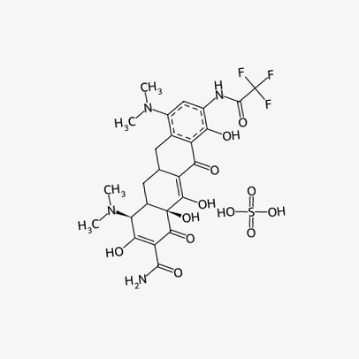 CN(C)c1cc(NC(=O)C(F)(F)F)c(O)c2c1CC1CC3[C@H](N(C)C)C(O)=C(C(N)=O)C(=O)[C@@]3(O)C(O)=C1C2=O.O=S(=O)(O)O